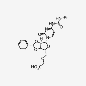 CCNC(=O)Nc1ccn([C@@H]2O[C@H](COCC(=O)O)C3O[C@H](c4ccccc4)O[C@@H]32)c(=O)n1